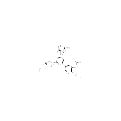 Nc1ncc(-c2cc(N3C[C@@H]4C[C@H]3CO4)nc(N3CC(C(F)(F)F)C(F)(F)C3)n2)cc1OC(F)F